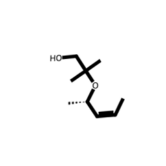 C/C=C\[C@H](C)OC(C)(C)CO